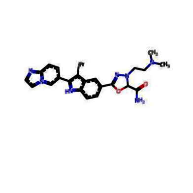 CC(C)c1c(-c2ccc3nccn3c2)[nH]c2ccc(C3=NN(CCN(C)C)C(C(N)=O)O3)cc12